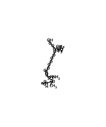 CCCN(CCCNC(=O)OC1CCC1)C(=O)C1=Cc2sc(CN3CCN(C(=O)CCOCCOCCOCCOCCOCCOCC(OCCOCCOCCO)C(CO)C(=O)Oc4c(F)c(F)cc(F)c4F)CC3)cc2N=C(N)C1